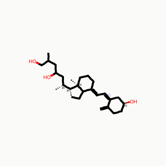 C=C1CC[C@H](O)C/C1=C/C=C1CCC[C@@]2(C)C1CC[C@@H]2[C@H](C)CC(O)CC(C)CO